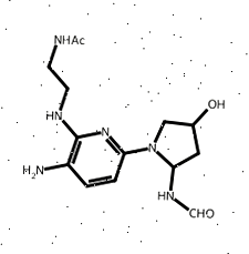 CC(=O)NCCNc1nc(N2CC(O)CC2NC=O)ccc1N